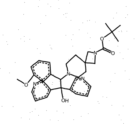 COc1cccc(C(N2CCC3(CC2)CN(C(=O)OC(C)(C)C)C3)C(O)(c2cccnc2)c2cccnc2)c1